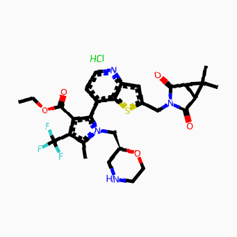 CCOC(=O)c1c(C(F)(F)F)c(C)n(C[C@@H]2CNCCO2)c1-c1ccnc2cc(CN3C(=O)C4C(C3=O)C4(C)C)sc12.Cl